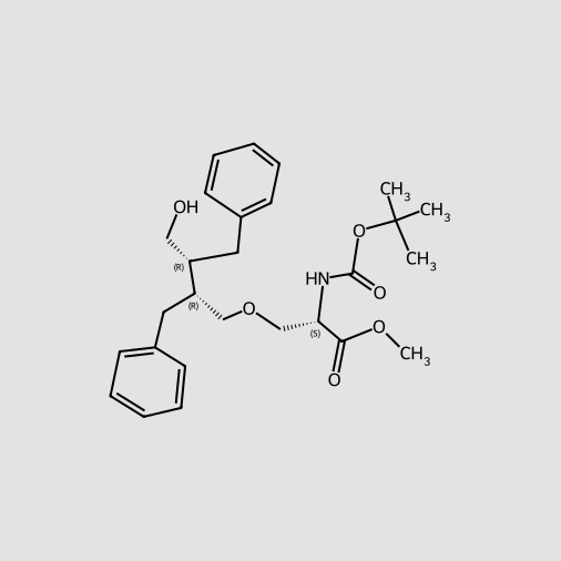 COC(=O)[C@H](COC[C@H](Cc1ccccc1)[C@H](CO)Cc1ccccc1)NC(=O)OC(C)(C)C